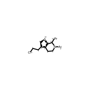 CC(=O)N1CCc2c(CCCl)csc2C1C(C)C